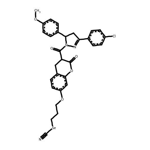 COc1ccc(C2CC(c3ccc(Cl)cc3)=NN2C(=O)C2Cc3ccc(OCCC[Se]C#N)cc3OC2=O)cc1